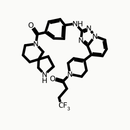 O=C(CCC(F)(F)F)N1CC=C(c2cccn3nc(Nc4ccc(C(=O)N5CCCC6(CCNC6)C5)cc4)nc23)CC1